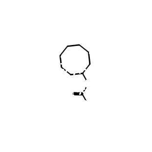 [O]C(=O)OC1CCCCCCC1